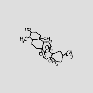 CC1CCC2(C)CCC3(C)C(=CCC4C5(C)CCC(O)C(C)C5CCC43C)C2C1